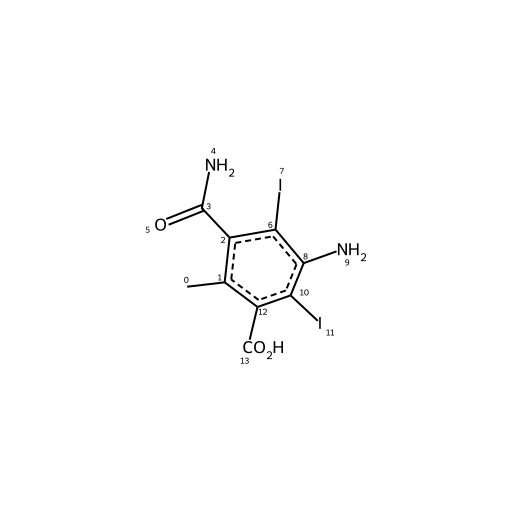 Cc1c(C(N)=O)c(I)c(N)c(I)c1C(=O)O